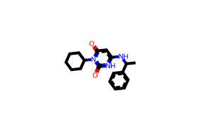 CC(Nc1cc(=O)n(C2CCCCC2)c(=O)[nH]1)c1ccccc1